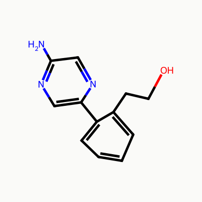 Nc1cnc(-c2ccccc2CCO)cn1